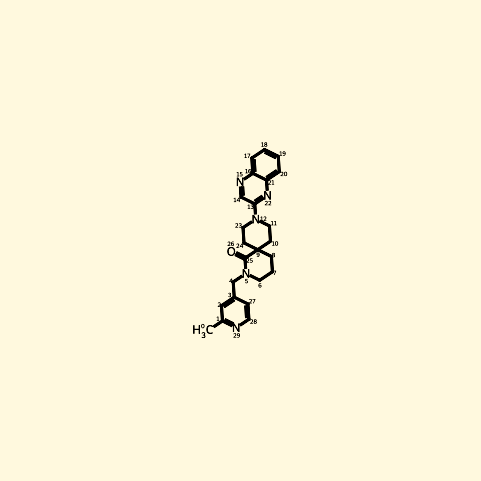 Cc1cc(CN2CCCC3(CCN(c4cnc5ccccc5n4)CC3)C2=O)ccn1